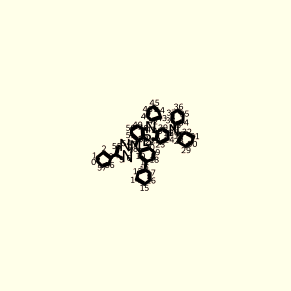 c1ccc(-c2cnc(N3c4cc(-c5ccccc5)ccc4B4c5ccc(N(c6ccccc6)c6ccccc6)cc5N(c5ccccc5)c5cccc3c54)nc2)cc1